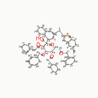 OC1(c2cc(Cc3cc4cc(F)ccc4s3)cc3ccccc23)O[C@H](COCc2ccccc2)[C@H](OCc2ccccc2)[C@@H](OCc2ccccc2)[C@H]1OCc1ccccc1